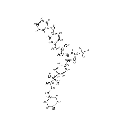 CC(C)(C)c1cc(NC(=O)Nc2ccc(Oc3ccncc3)cc2)n(-c2ccc(S(=O)(=O)NCCN3CCOCC3)cc2)n1